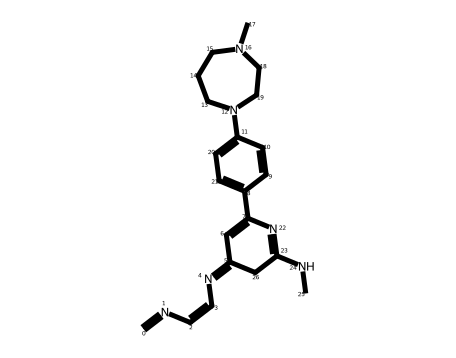 C=N/C=C\N=C1\C=C(c2ccc(N3CCCN(C)CC3)cc2)N=C(NC)C1